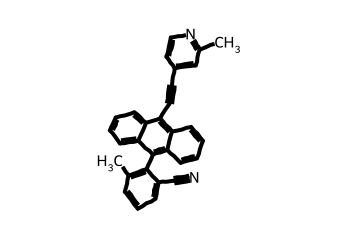 Cc1cc(C#Cc2c3ccccc3c(-c3c(C)cccc3C#N)c3ccccc23)ccn1